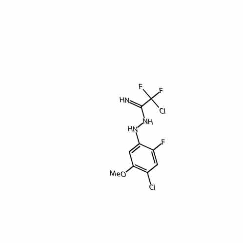 COc1cc(NNC(=N)C(F)(F)Cl)c(F)cc1Cl